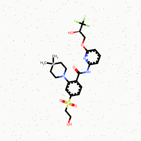 C[Si]1(C)CCN(c2cc(S(=O)(=O)CCO)ccc2C(=O)Nc2cccc(OC[C@@H](O)C(F)(F)F)n2)CC1